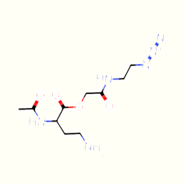 CC(=O)NC(CCN)C(=O)OCC(=O)NCCN=[N+]=[N-]